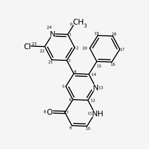 Cc1cc(-c2cc3c(=O)cc[nH]c3nc2-c2ccccc2)cc(Cl)n1